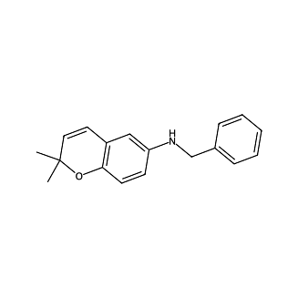 CC1(C)C=Cc2cc(NCc3ccccc3)ccc2O1